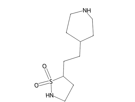 O=S1(=O)NCCC1CCC1CCNCC1